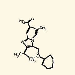 Cc1cn2c(COC3CCCCC3)c(C(C)C)nc2cc1C(=O)O